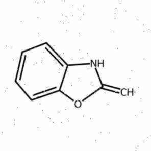 [CH]=C1Nc2ccccc2O1